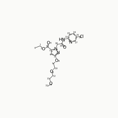 CCOC(=O)c1cc(OCCOCCOC)nn1CC(=O)Nc1ccc(Cl)cn1